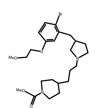 COCCOc1ccc(Br)c(CC2CCN(CCCC3CCN(C(=O)OC)CC3)C2)c1